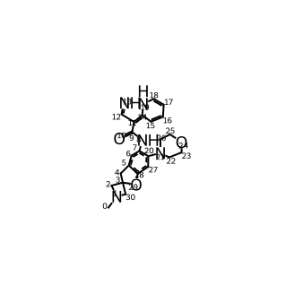 CN1CC2(Cc3cc(NC(=O)/C(C=N)=C4\C=CC=CN4)c(N4CCOCC4)cc3O2)C1